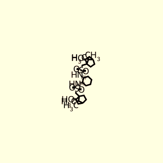 CC1(C)C2CCC1(CS(=O)(=O)N[C@@H]1CCCC[C@H]1NS(=O)(=O)CC13CCC(CC1O)C3(C)C)C(O)C2